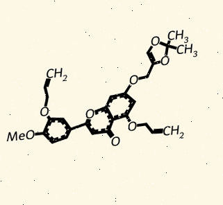 C=CCOc1cc(-c2cc(=O)c3c(OCC=C)cc(OCC4=COC(C)(C)O4)cc3o2)ccc1OC